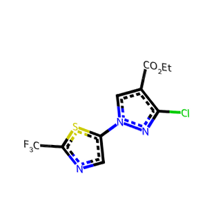 CCOC(=O)c1cn(-c2cnc(C(F)(F)F)s2)nc1Cl